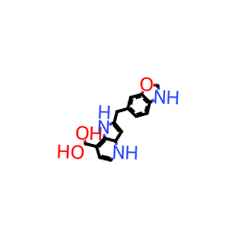 OC(O)C1=C2NC(Cc3ccc4c(c3)OCN4)=CC2NC=C1